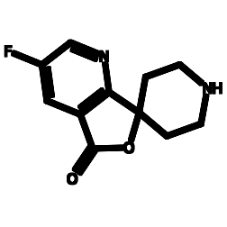 O=C1OC2(CCNCC2)c2ncc(F)cc21